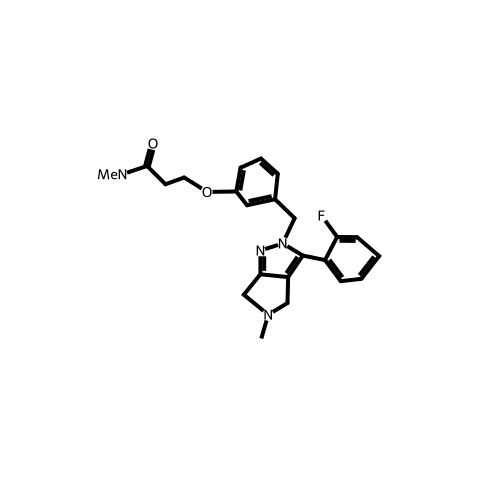 CNC(=O)CCOc1cccc(Cn2nc3c(c2-c2ccccc2F)CN(C)C3)c1